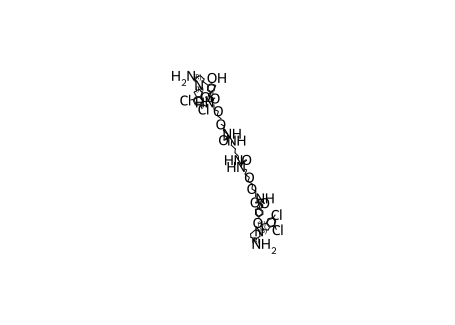 N[C@@H]1CCCN([C@H]2Cc3c(Cl)cc(Cl)cc3[C@@H]2Oc2ccc(S(=O)(=O)NCCOCCOCCNC(=O)NCCCCNC(=O)NCCOCCOCCNS(=O)(=O)c3ccc(O)c(C4CC[C@@H](N)CN4[C@@H]4Cc5cc(Cl)cc(Cl)c5C4)c3)cc2)C1